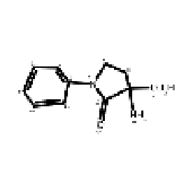 NC1(C(=O)O)CCN(c2ccccc2)C1=O